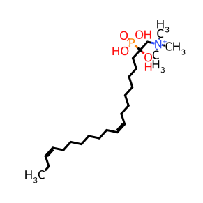 CC/C=C\CCCCCC/C=C\CCCCCCCC(O)(C[N+](C)(C)C)P(=O)(O)O